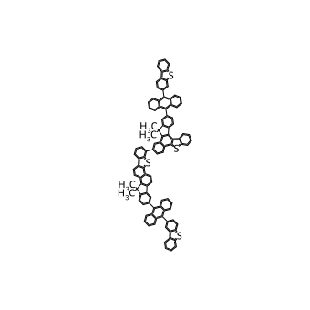 CC1(C)c2ccc(-c3c4ccccc4c(-c4ccc5sc6ccccc6c5c4)c4ccccc34)cc2-c2ccc3c(ccc4c5cccc(-c6ccc7c(c6)c6c(c8c9ccccc9sc78)-c7ccc(-c8c9ccccc9c(-c9ccc%10c(c9)sc9ccccc9%10)c9ccccc89)cc7C6(C)C)c5sc34)c21